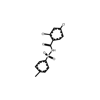 Cc1ccc(S(=O)(=O)NC(=O)c2ccc(Cl)cc2Cl)cc1